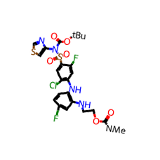 CNC(=O)OCCNc1cc(F)ccc1Nc1cc(F)c(S(=O)(=O)N(C(=O)OC(C)(C)C)c2cscn2)cc1Cl